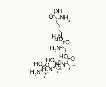 CC(C)C(N)C(=O)O.CC(C)C(N)C(=O)O.CC(C)C(N)C(=O)O.CC(C)C(N)C(=O)O.NCCCCC(N)C(=O)O